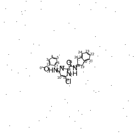 COc1ccccc1Nc1cc(Cl)nc(C(=O)NC2Cc3ccccc3C2)n1